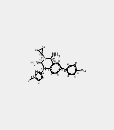 Cn1ccc(N2c3ccc(-c4ccc(F)cc4)cc3C(N)N(C3CC3)C2N)n1